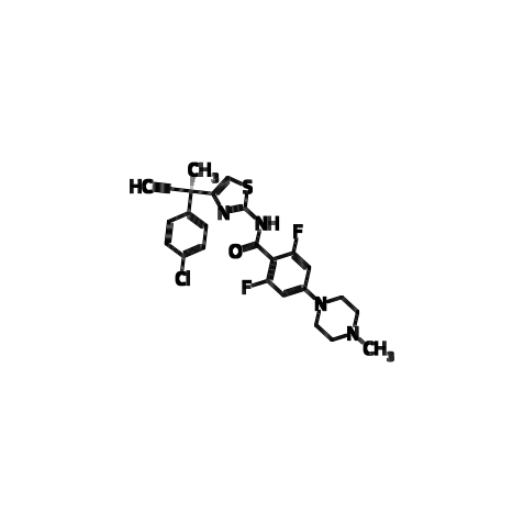 C#C[C@](C)(c1ccc(Cl)cc1)c1csc(NC(=O)c2c(F)cc(N3CCN(C)CC3)cc2F)n1